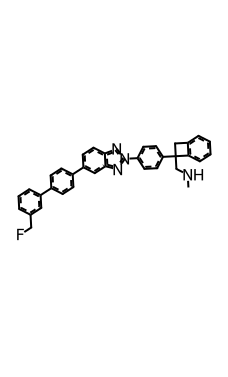 CNCC1(c2ccc(-n3nc4ccc(-c5ccc(-c6cccc(CF)c6)cc5)cc4n3)cc2)Cc2ccccc21